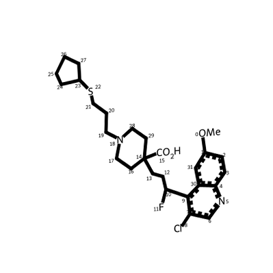 COc1ccc2ncc(Cl)c(C(F)CCC3(C(=O)O)CCN(CCCSC4CCCC4)CC3)c2c1